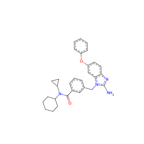 Nc1nc2ccc(Oc3ccccc3)cc2n1Cc1cccc(C(=O)N(C2CCCCC2)C2CC2)c1